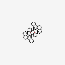 c1ccc(-n2ccc3ccc4c5ccccc5n(-c5ccc(-n6c7ccccc7c7ccc8ccn(-c9ccccc9)c8c76)cc5)c4c32)cc1